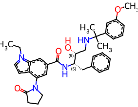 CCn1ccc2c(N3CCCC3=O)cc(C(=O)N[C@@H](Cc3ccccc3)[C@H](O)CNC(C)(C)c3cccc(OC)c3)cc21